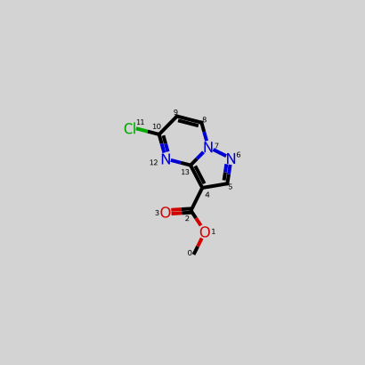 COC(=O)c1cnn2ccc(Cl)nc12